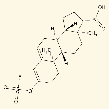 C[C@]12CC[C@H]3[C@@H](CC=C4C=C(OS(=O)(=O)F)CC[C@@]43C)[C@@H]1CC[C@@H]2C(=O)O